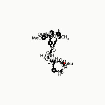 CCC(C)NC(=O)N1[C@@H]2CCN1C(=O)CNC(=O)[C@@H](NC(=O)CNC(=O)[C@H](C)NC(=O)CCC(=O)N(CCCCCCn1cc(C)c3cc(F)ccc31)Cc1ccc(CCNC(=O)[C@]3(C)CCCN3C(=O)[C@H](Cc3ccc(OC)cc3)NC=O)cc1)Cc1cccc(c1)CNC(=O)CO2